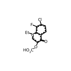 CCn1cc(OC(=O)O)c(=O)c2ccc(Cl)c(F)c21